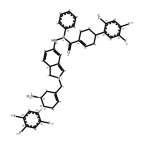 N[C@H]1CC(CN2C=C3C=C(NN(C(=O)C4=CCC(c5cc(F)c(F)cc5F)CC4)c4ccccc4)C=CC3C2)=CC[C@@H]1c1cc(F)c(F)cc1F